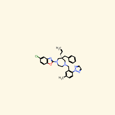 C=CC[C@]1(Cc2ccccc2)CN(Cc2cc(C)ccc2-n2nccn2)CCN(c2nc3cc(Cl)ccc3o2)C1